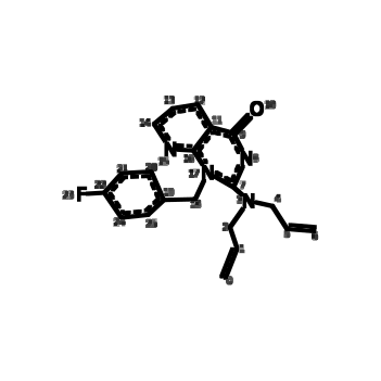 C=CCN(CC=C)c1nc(=O)c2cccnc2n1Cc1ccc(F)cc1